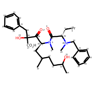 CC(C)C[C@@H](C(=O)N(C)[C@@H](CC(C)CCC(C)O)C(=O)C(O)(Cc1ccccc1)C(=O)O)N(C)Cc1ccccc1